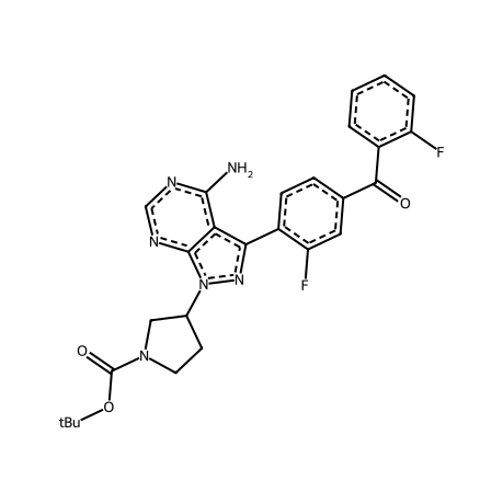 CC(C)(C)OC(=O)N1CCC(n2nc(-c3ccc(C(=O)c4ccccc4F)cc3F)c3c(N)ncnc32)C1